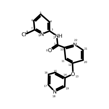 O=C(Nc1cccc(Cl)n1)c1cc(Oc2cccnc2)ccn1